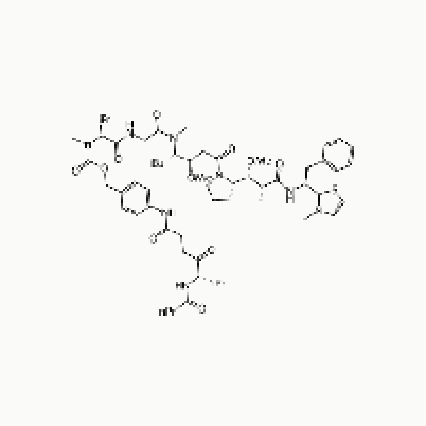 CCCC(=O)N[C@H](C(=O)CCC(=O)Nc1ccc(COC(=O)N(C)[C@H](C(=O)NCC(=O)N(C)C([C@@H](C)CC)[C@@H](CC(=O)N2CCC[C@H]2[C@H](OC)[C@@H](C)C(=O)N[C@@H](Cc2ccccc2)C2SC=CN2C)OC)C(C)C)cc1)C(C)C